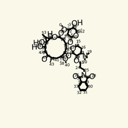 CO[C@]1(C)C[C@H](O[C@H]2[C@H](C)[C@@H](O[C@@H]3O[C@H](C)C[C@H](N(C)C)[C@H]3OCCCN3C(=O)c4ccccc4C3=O)[C@@](C)(OC)C[C@@H](C)C(=O)[C@H](C)[C@@H](O)[C@@]3(O)C(C)[C@H]3OC(=O)[C@@H]2C)O[C@@H](C)[C@@H]1O